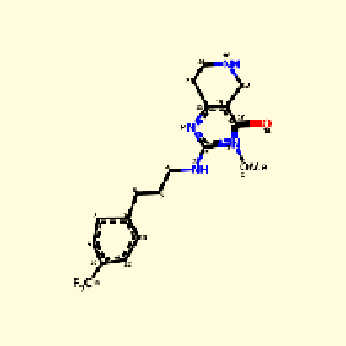 COn1c(NCCCc2ccc(C(F)(F)F)cc2)nc2c(c1=O)CNCC2